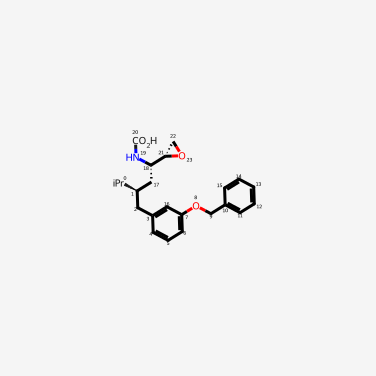 CC(C)[C@H](Cc1cccc(OCc2ccccc2)c1)C[C@H](NC(=O)O)[C@@H]1CO1